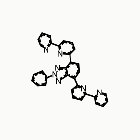 c1ccc(-n2nc3c(-c4cccc(-c5ccccn5)n4)ccc(-c4cccc(-c5ccccn5)n4)c3n2)cc1